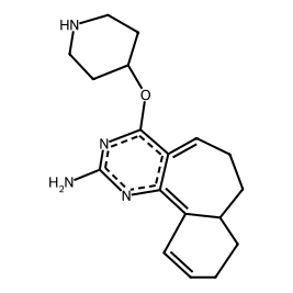 Nc1nc(OC2CCNCC2)c2c(n1)=C1C=CCCC1CCC=2